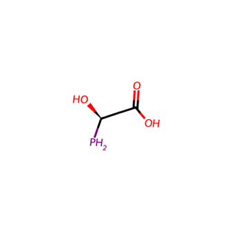 O=C(O)[C@H](O)P